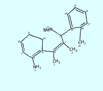 CNC(/C(C)=C(/C)C1=C(N)C=CCC1)c1ccccc1C